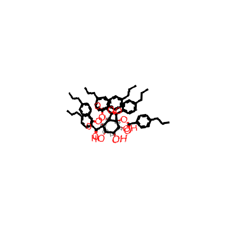 CCCc1ccc(C(=O)O[C@@]2(C(=O)c3ccc(CCC)cc3)[C@@](OC(=O)c3ccc(CCC)cc3)(C(=O)c3ccc(CCC)cc3)[C@@H](O)[C@H](O)[C@@H](O)[C@@]2(OC(=O)c2ccc(CCC)cc2)C(=O)c2ccc(CCC)cc2)cc1